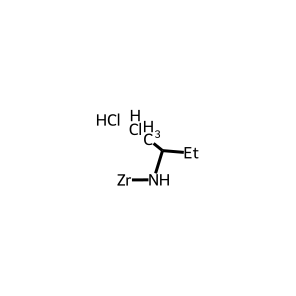 CCC(C)[NH][Zr].Cl.Cl